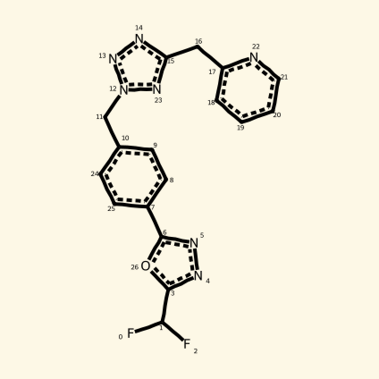 FC(F)c1nnc(-c2ccc(Cn3nnc(Cc4ccccn4)n3)cc2)o1